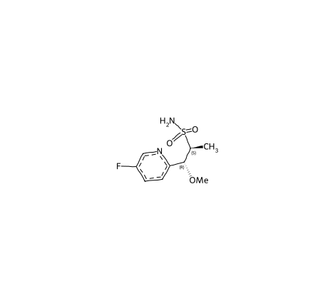 CO[C@H](c1ccc(F)cn1)[C@H](C)S(N)(=O)=O